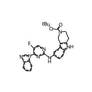 CC(C)(C)OC(=O)N1CCc2[nH]c3ccc(Nc4ncc(F)c(-n5cnc6ccccc65)n4)cc3c2C1